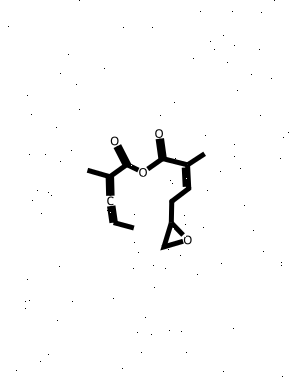 CC=C=C(C)C(=O)OC(=O)C(C)=CCC1CO1